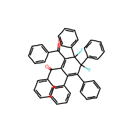 O=C(C1=C(C(=O)c2ccccc2)C(F)(c2ccccc2)C(F)(c2ccccc2)C(c2ccccc2)=C1c1ccccc1)c1ccccc1